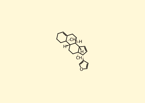 C[C@]12CC[C@H]3[C@@H](CCC4=CCCC[C@@]43C)[C@@H]1C=C[C@@H]2c1ccoc1